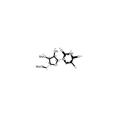 COC[C@H]1O[C@@H](n2cc(I)c(=O)[nH]c2=O)C(O)C1OC